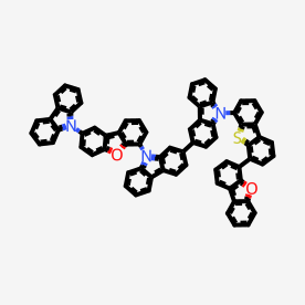 c1ccc2c(c1)oc1c(-c3cccc4c3sc3c(-n5c6ccccc6c6cc(-c7ccc8c9ccccc9n(-c9cccc%10c9oc9ccc(-n%11c%12ccccc%12c%12ccccc%12%11)cc9%10)c8c7)ccc65)cccc34)cccc12